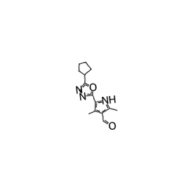 Cc1[nH]c(-c2nnc(C3CCCC3)o2)c(C)c1C=O